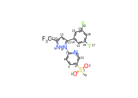 CS(=O)(=O)c1ccc(-n2nc(C(F)(F)F)cc2-c2cc(F)cc(F)c2)nc1